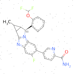 CC1C2c3nc4cc(F)c(-c5ccc(C(N)=O)nc5)cc4n3[C@H](c3ccccc3OC(F)F)C12